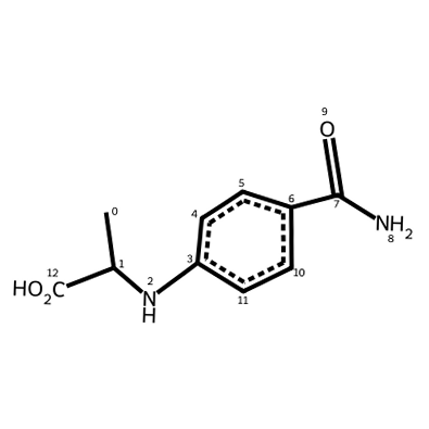 CC(Nc1ccc(C(N)=O)cc1)C(=O)O